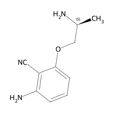 C[C@H](N)COc1cccc(N)c1C#N